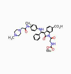 CN1CCN(CC(=O)N(C)c2ccc(NC(=C3C(=O)N(C(=O)CNC(=O)OC(C)(C)C)c4cc(C(=O)O)ccc43)c3ccccc3)cc2)CC1